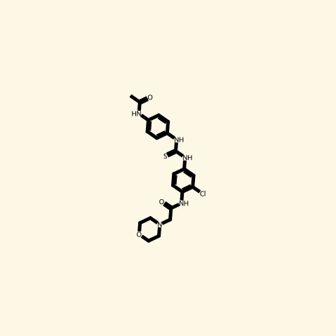 CC(=O)Nc1ccc(NC(=S)Nc2ccc(NC(=O)CN3CCOCC3)c(Cl)c2)cc1